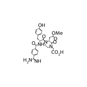 COC(=O)C[C@H]1C(=O)N(CC(=O)O)CCN1C(=O)[C@H](Cc1ccc(O)cc1)NC(=O)c1ccc(C(=N)N)cc1